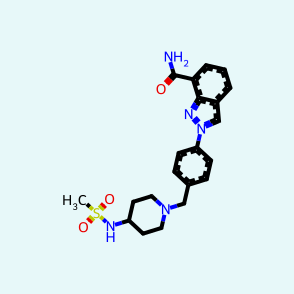 CS(=O)(=O)NC1CCN(Cc2ccc(-n3cc4cccc(C(N)=O)c4n3)cc2)CC1